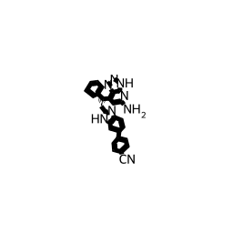 N#Cc1ccc(-c2ccc3nc(C[C@H](c4ccccc4)c4cc(N)nc5[nH]nnc45)[nH]c3c2)cc1